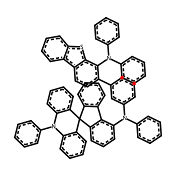 c1ccc(N(c2cccc(-c3ccc4c(sc5ccccc54)c3N(c3ccccc3)c3ccccc3)c2)c2cccc3c2-c2ccccc2C32c3ccccc3N(c3ccccc3)c3ccccc32)cc1